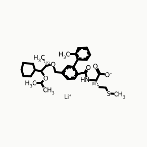 CSCC[C@H](NC(=O)c1ccc(CO[C@@H](C)C(OC(C)C)C2CCCCC2)cc1-c1ccccc1C)C(=O)[O-].[Li+]